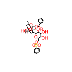 C[C@@]12C[C@@]3(O)O[C@H](O1)C1(COC(=O)c4ccccc4)[C@@H]3CC12C1OC(COS(=O)(=O)c2ccccc2)C(O)C(O)C1O